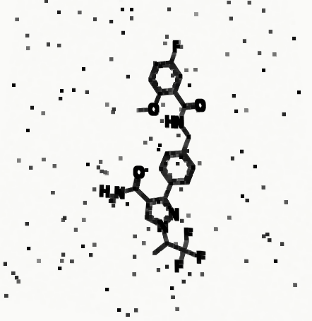 COc1ccc(F)cc1C(=O)NCc1ccc(-c2nn(C(C)C(F)(F)F)cc2C(N)=O)cc1